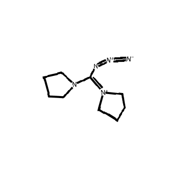 [N-]=[N+]=NC(N1CCCC1)=[N+]1CCCC1